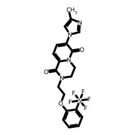 Cc1cn(-c2ccc3n(c2=O)CCN(CCOc2ccccc2S(F)(F)(F)(F)F)C3=O)cn1